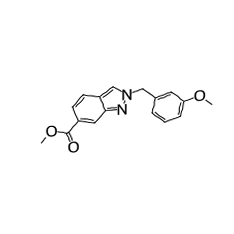 COC(=O)c1ccc2cn(Cc3cccc(OC)c3)nc2c1